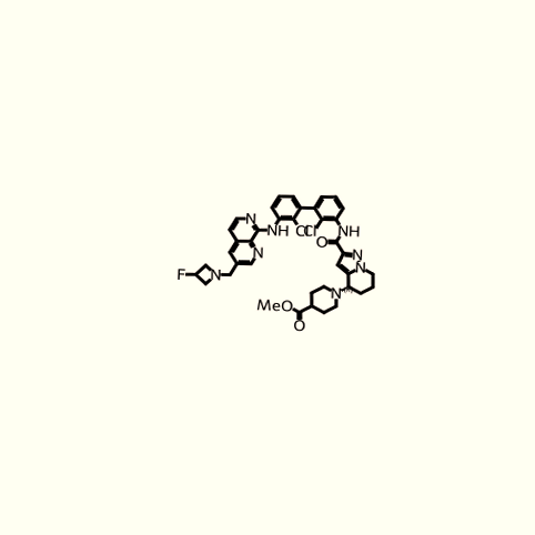 COC(=O)C1CCN([C@@H]2CCCn3nc(C(=O)Nc4cccc(-c5cccc(Nc6nccc7cc(CN8CC(F)C8)cnc67)c5Cl)c4Cl)cc32)CC1